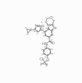 C[C@@H]1COCc2nc3cc(C(=O)Nc4ccc(OC(F)(F)Cl)cc4)cc(-c4cc(C5CC5)n[nH]4)c3n21